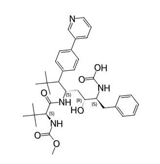 COC(=O)N[C@H](C(=O)N[C@@H](C[C@@H](O)[C@H](Cc1ccccc1)NC(=O)O)C(c1ccc(-c2cccnc2)cc1)C(C)(C)C)C(C)(C)C